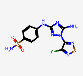 Nc1nc(Nc2ccc(S(N)(=O)=O)cc2)nn1-c1nsnc1Cl